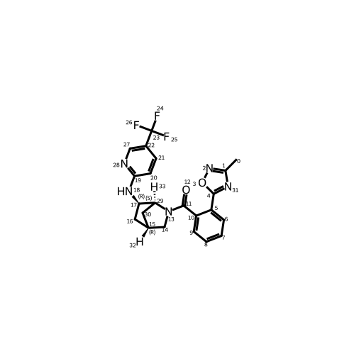 Cc1noc(-c2ccccc2C(=O)N2C[C@@H]3C[C@@H](Nc4ccc(C(F)(F)F)cn4)[C@@H]2C3)n1